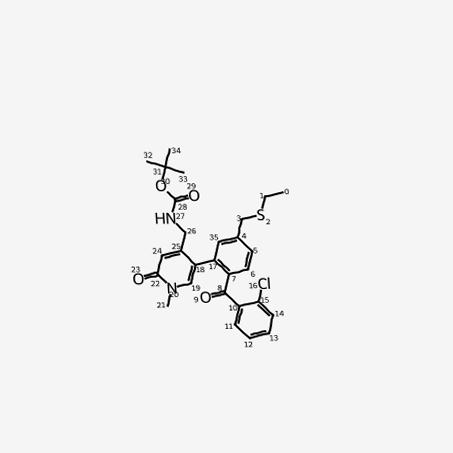 CCSCc1ccc(C(=O)c2ccccc2Cl)c(-c2cn(C)c(=O)cc2CNC(=O)OC(C)(C)C)c1